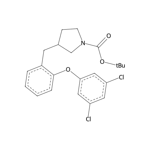 CC(C)(C)OC(=O)N1CCC(Cc2ccccc2Oc2cc(Cl)cc(Cl)c2)C1